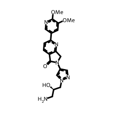 COc1cc(-c2ccc3c(n2)CN(c2cnn(C[C@H](O)CN)c2)C3=O)cnc1OC